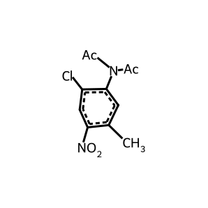 CC(=O)N(C(C)=O)c1cc(C)c([N+](=O)[O-])cc1Cl